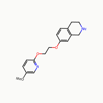 COc1ccc(OCCOc2ccc3c(c2)CNCC3)nc1